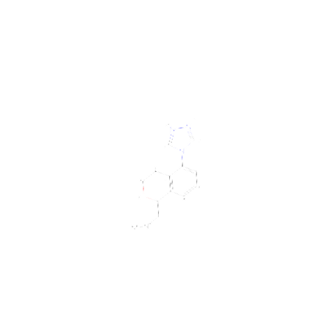 CNCC1OCCc2c1cccc2-n1cnnc1